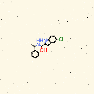 C[C@@H](NC(O)c1cc2cc(Cl)ccc2[nH]1)c1ccccc1